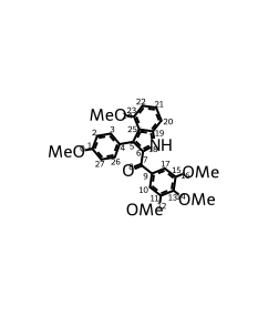 COc1ccc(-c2c(C(=O)c3cc(OC)c(OC)c(OC)c3)[nH]c3cccc(OC)c23)cc1